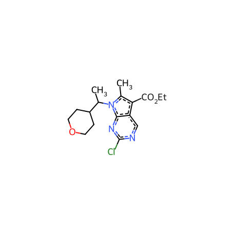 CCOC(=O)c1c(C)n(C(C)C2CCOCC2)c2nc(Cl)ncc12